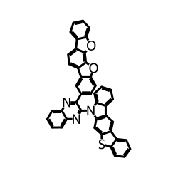 c1ccc2nc(-n3c4ccccc4c4cc5c(cc43)sc3ccccc35)c(-c3ccc4oc5c(ccc6c7ccccc7oc65)c4c3)nc2c1